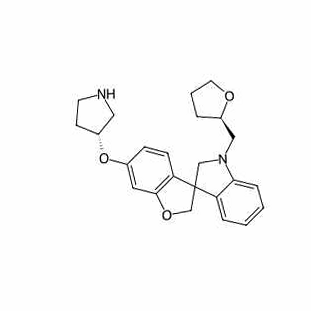 c1ccc2c(c1)N(C[C@H]1CCCO1)CC21COc2cc(O[C@@H]3CCNC3)ccc21